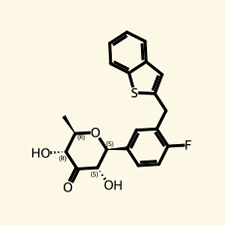 C[C@H]1O[C@@H](c2ccc(F)c(Cc3cc4ccccc4s3)c2)[C@H](O)C(=O)[C@@H]1O